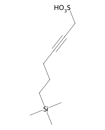 C[Si](C)(C)CCCC#CCS(=O)(=O)O